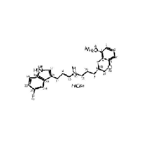 COc1cccc2c1C[C@H](CCCNCCCc1c[nH]c3ccc(F)cc13)CO2.Cl